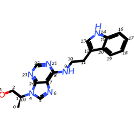 C[C@@H](CO)n1cnc2c(NCCc3c[nH]c4ccccc34)ncnc21